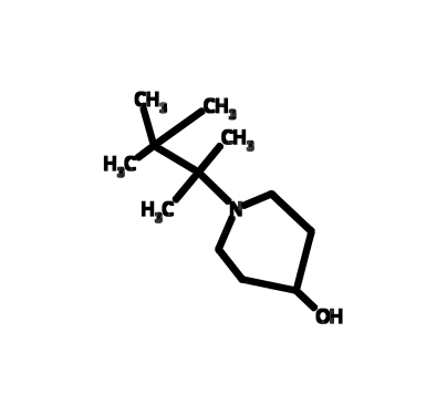 CC(C)(C)C(C)(C)N1CCC(O)CC1